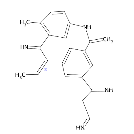 C=C(Nc1ccc(C)c(C(=N)/C=C\C)c1)c1cccc(C(=N)CC=N)c1